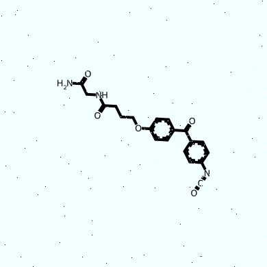 NC(=O)CNC(=O)CCCOc1ccc(C(=O)c2ccc(N=C=O)cc2)cc1